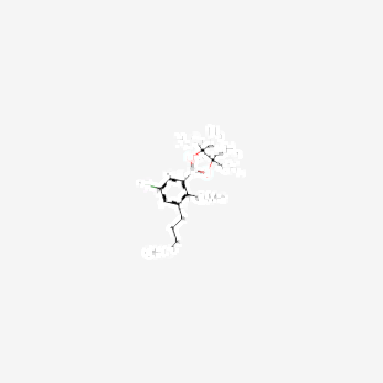 COc1c(CCCC=O)cc(F)cc1B1OC(C)(C)C(C)(C)O1